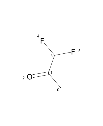 CC(=O)C(F)F